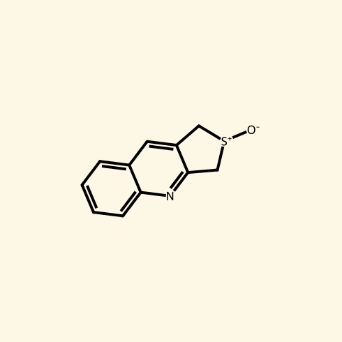 [O-][S+]1Cc2cc3ccccc3nc2C1